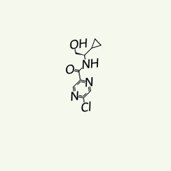 O=C(N[C@@H](CO)C1CC1)c1cnc(Cl)cn1